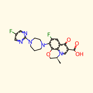 C[C@H]1COc2c(N3CCCN(c4ncc(F)cn4)CC3)c(F)cc3c(=O)c(C(=O)O)cn1c23